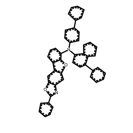 c1ccc(-c2ccc(N(c3ccc(-c4ccccc4)c4ccccc34)c3cccc4c3oc3cc5nc(-c6ccccc6)oc5cc34)cc2)cc1